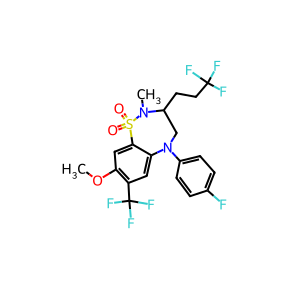 COc1cc2c(cc1C(F)(F)F)N(c1ccc(F)cc1)CC(CCC(F)(F)F)N(C)S2(=O)=O